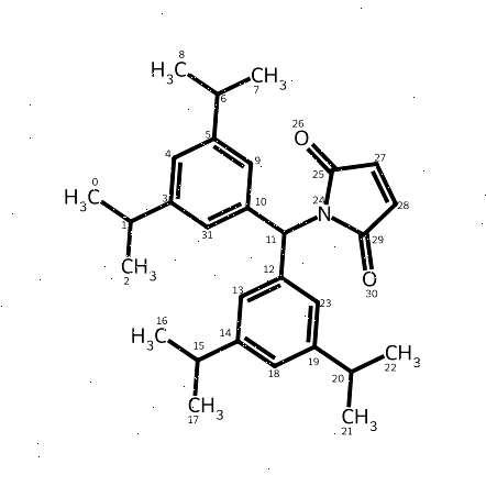 CC(C)c1cc(C(C)C)cc(C(c2cc(C(C)C)cc(C(C)C)c2)N2C(=O)C=CC2=O)c1